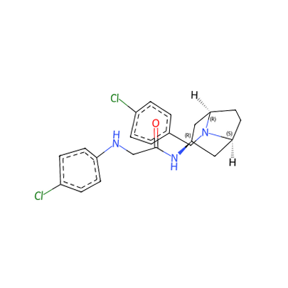 O=C(CNc1ccc(Cl)cc1)N[C@H]1C[C@H]2CC[C@@H](C1)N2Cc1ccc(Cl)cc1